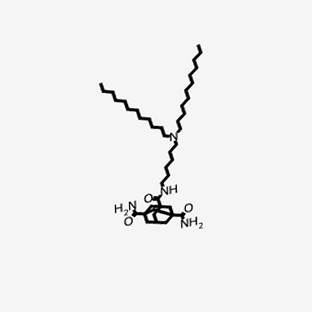 CCCCCCCCCCCCN(CCCCCCCCCCCC)CCCCCCNC(=O)C12CC3CC(C(N)=O)(CC(C(N)=O)(C3)C1)C2